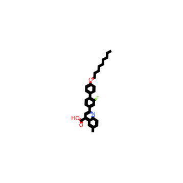 CCCCCCCCCOc1ccc(-c2ccc(-c3cc(C(=O)O)c4cc(C)ccc4n3)cc2F)cc1